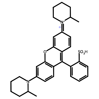 CC1CCCCN1c1ccc2c(-c3ccccc3S(=O)(=O)O)c3cc/c(=[N+]4/CCCCC4C)cc-3oc2c1